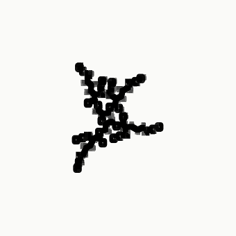 O=C=NCCCC(N=C=O)C(=O)OCC(COC(=O)C(CCCN=C=O)N=C=O)OC(COC(=O)C(CCCN=C=O)N=C=O)COC(=O)C(CCCN=C=O)N=C=O